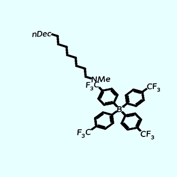 CCCCCCCCCCCCCCCCCC[NH2+]C.FC(F)(F)c1ccc([B-](c2ccc(C(F)(F)F)cc2)(c2ccc(C(F)(F)F)cc2)c2ccc(C(F)(F)F)cc2)cc1